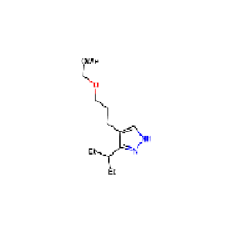 CCC(CC)c1n[nH]cc1CCCOCOC